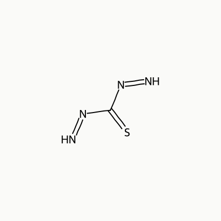 N=NC(=S)N=N